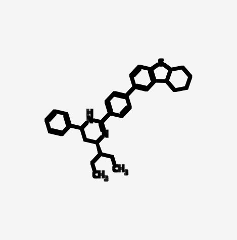 CCC(CC)[C@H]1CC(c2ccccc2)NC(c2ccc(-c3ccc4c(c3)C3CCCCC3S4)cc2)=N1